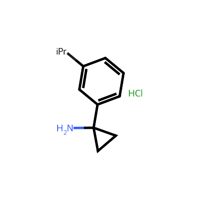 CC(C)c1cccc(C2(N)CC2)c1.Cl